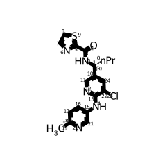 CCC[C@@H](NC(=O)c1nccs1)c1cnc(Nc2ccc(C)nc2)c(Cl)c1